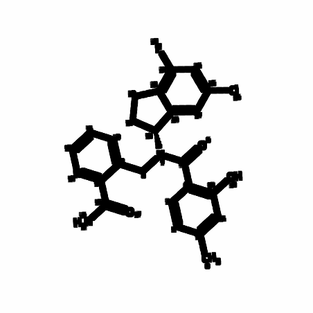 Cc1ccc(C(=O)N(Cc2cccnc2C(N)=O)[C@@H]2CCc3c(F)cc(Cl)cc32)c(O)c1